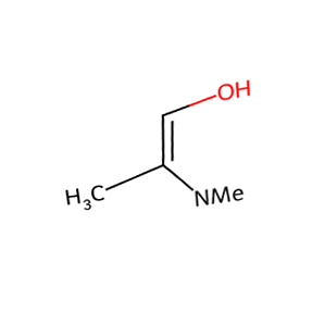 CN/C(C)=C\O